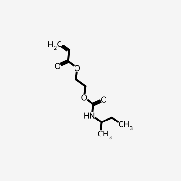 C=CC(=O)OCCOC(=O)NC(C)CC